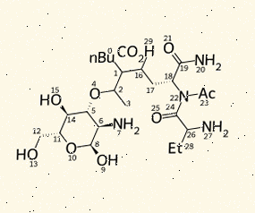 CCCCC(C(C)O[C@@H]1[C@@H](N)[C@@H](O)O[C@H](CO)[C@H]1O)C(C[C@H](C(N)=O)N(C(C)=O)C(=O)C(N)CC)C(=O)O